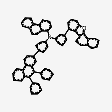 c1ccc(-c2c(-c3ccccc3)c3cc(-c4ccc(N(c5cccc(-c6cccc7oc8c9ccccc9ccc8c67)c5)c5cccc6c5ccc5ccccc56)cc4)ccc3c3ccccc23)cc1